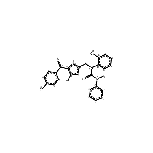 Cc1cc(CN(C(=O)N(C)c2cccnc2)c2ccccc2Cl)[nH]c1C(=O)c1ccc(Cl)cc1